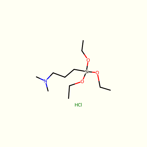 CCO[Si](CCCN(C)C)(OCC)OCC.Cl